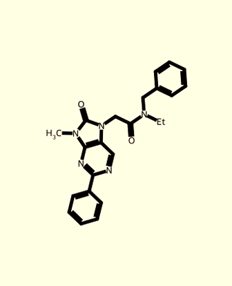 CCN(Cc1ccccc1)C(=O)Cn1c(=O)n(C)c2nc(-c3ccccc3)ncc21